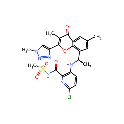 Cc1cc([C@@H](C)Nc2ccc(Cl)nc2C(=O)NS(C)(=O)=O)c2oc(-c3cn(C)nn3)c(C)c(=O)c2c1